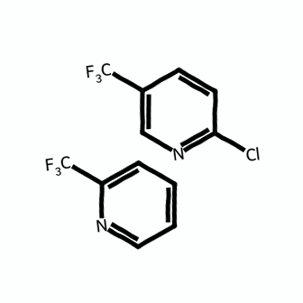 FC(F)(F)c1ccc(Cl)nc1.FC(F)(F)c1ccccn1